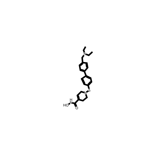 CCN(CC)Cc1ccc(-c2ccc(SN3CC=C(C(=O)NO)CC3)cc2)cc1